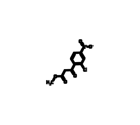 COC(=O)CC(=O)c1ccc([N+](=O)[O-])cc1Cl